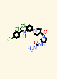 C[C@@H](Nc1cc(N2CCC(C(=O)N3CCC(NC(N)=O)C3)CC2)ccc1Cl)c1ccc(Cl)cc1Cl